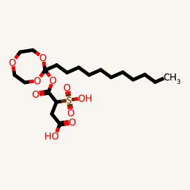 CCCCCCCCCCCC1(OC(=O)C(CC(=O)O)S(=O)(=O)O)OCCOCCO1